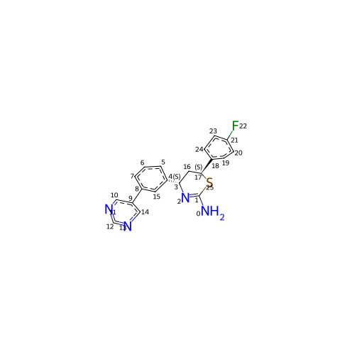 NC1=N[C@H](c2cccc(-c3cncnc3)c2)C[C@@H](c2ccc(F)cc2)S1